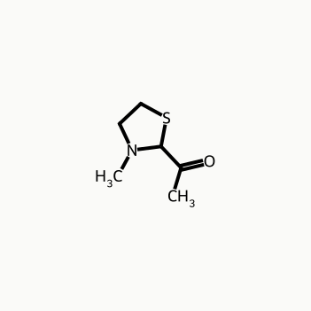 CC(=O)C1SCCN1C